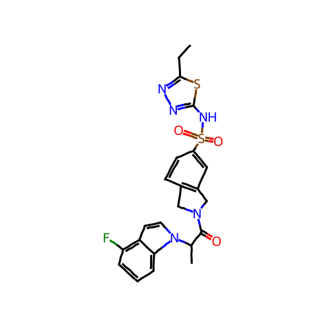 CCc1nnc(NS(=O)(=O)c2ccc3c(c2)CN(C(=O)C(C)n2ccc4c(F)cccc42)C3)s1